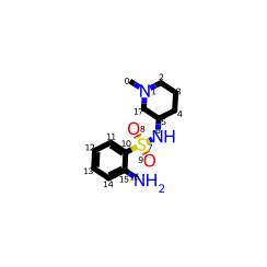 CN1CCCC(NS(=O)(=O)c2ccccc2N)C1